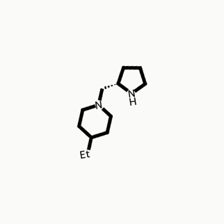 CCC1CCN(C[C@@H]2CCCN2)CC1